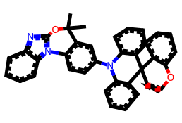 CC1(C)Oc2nc3ccccc3n2-c2ccc(N3c4ccccc4C4(c5ccccc5Oc5ccccc54)c4ccccc43)cc21